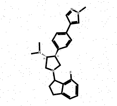 CN(C)[C@H]1CN(C2CCc3cccc(F)c32)C[C@@H]1c1ccc(-c2cnn(C)c2)cc1